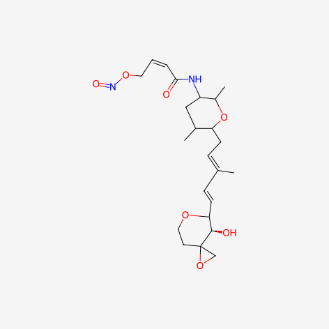 CC(/C=C/C1OCCC2(CO2)[C@@H]1O)=C\CC1OC(C)C(NC(=O)/C=C\CON=O)CC1C